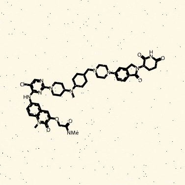 CNC(=O)COc1cc2cc(Nc3nc(N4CCC(N(C)C5CCC(CN6CCN(c7ccc8c(c7)CN(C7CCC(=O)NC7=O)C8=O)CC6)CC5)CC4)ncc3Cl)ccc2n(C)c1=O